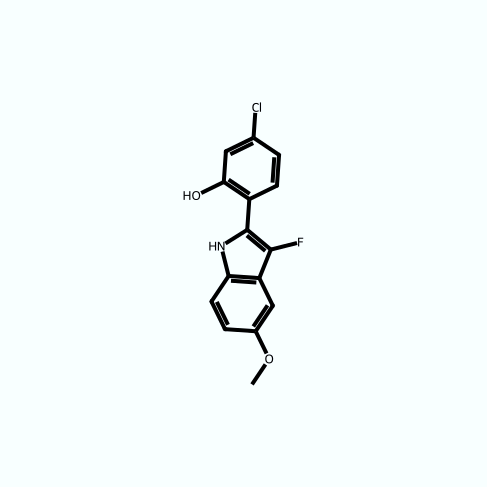 COc1ccc2[nH]c(-c3ccc(Cl)cc3O)c(F)c2c1